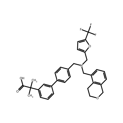 CC(C)(C(=O)O)c1cccc(-c2ccc(CN(Cc3ccc(C(F)(F)F)o3)Cc3cccc4c3CCOC4)cc2)c1